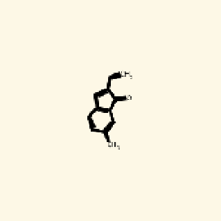 C=CC1=Cc2ccc(C)cc2C1=O